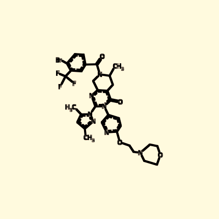 Cc1cc(C)n(-c2nc3c(c(=O)n2-c2ccc(OCCN4CCOCC4)nc2)CC(C)N(C(=O)c2ccc(Br)c(C(F)(F)F)c2)C3)n1